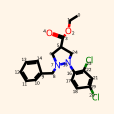 CCOC(=O)C1CN(Cc2ccccc2)N(c2ccc(Cl)cc2Cl)C1